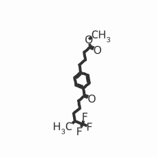 COC(=O)CCCc1ccc(C(=O)CCCC(C)C(F)(F)F)cc1